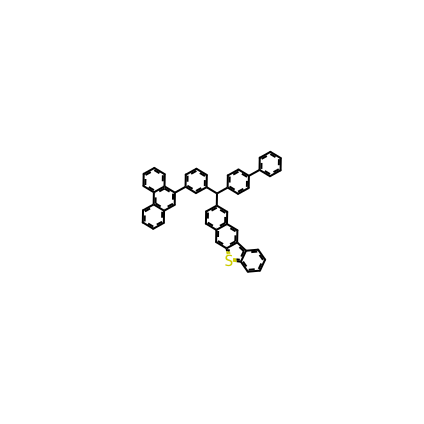 c1ccc(-c2ccc(C(c3cccc(-c4cc5ccccc5c5ccccc45)c3)c3ccc4cc5sc6ccccc6c5cc4c3)cc2)cc1